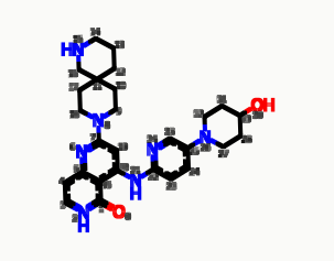 O=c1[nH]ccc2nc(N3CCC4(CCCNC4)CC3)cc(Nc3ccc(N4CCC(O)CC4)cn3)c12